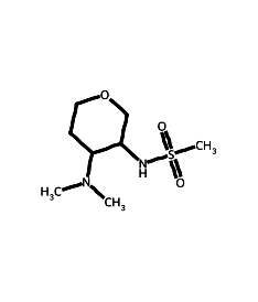 CN(C)C1CCOCC1NS(C)(=O)=O